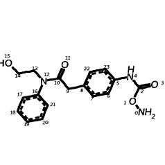 NOC(=O)Nc1ccc(CC(=O)N(CCO)c2ccccc2)cc1